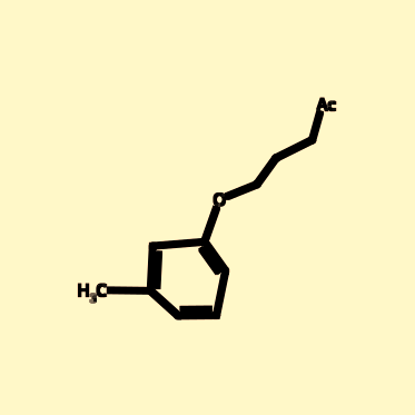 CC(=O)CCCOc1cccc(C)c1